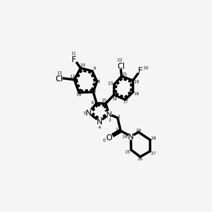 O=C(Cn1nnc(-c2ccc(F)c(Cl)c2)c1-c1ccc(F)c(Cl)c1)N1CCCCC1